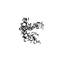 CCN1CCN(c2cc3c(cc2Cl)nc(C(=O)C2(C)CCC(O)CC2)n3COCC[Si](C)(C)C)C(C)C1